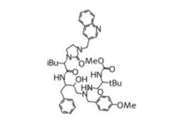 CCC(C)C(C(=O)NC(Cc1ccccc1)C(O)CN(Cc1ccc(OC)cc1)NC(=O)C(NC(=O)OC)C(C)(C)C)N1CCN(Cc2cnc3ccccc3c2)C1=O